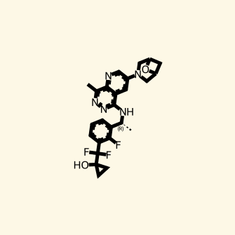 Cc1nnc(N[C@H](C)c2cccc(C(F)(F)C3(O)CC3)c2F)c2cc(N3CC4CC(C3)O4)cnc12